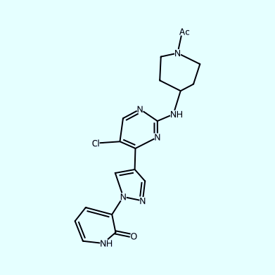 CC(=O)N1CCC(Nc2ncc(Cl)c(-c3cnn(-c4ccc[nH]c4=O)c3)n2)CC1